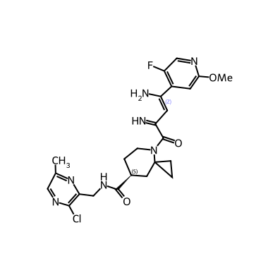 COc1cc(/C(N)=C/C(=N)C(=O)N2CC[C@H](C(=O)NCc3nc(C)cnc3Cl)CC23CC3)c(F)cn1